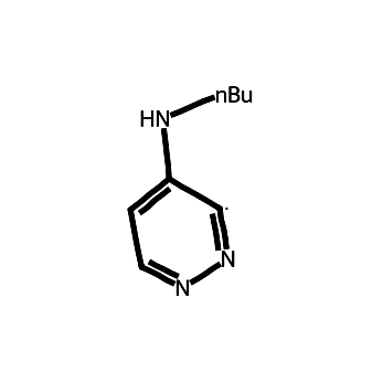 CCCCNc1[c]nncc1